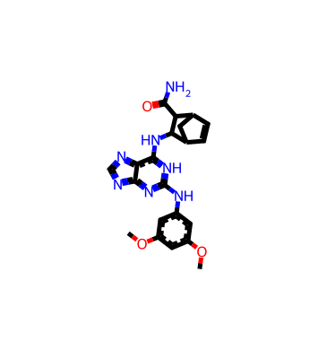 COc1cc(Nc2nc3ncnc-3c(NC3C4C=CC(C4)C3C(N)=O)[nH]2)cc(OC)c1